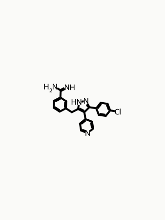 N=C(N)c1cccc(Cc2[nH]nc(-c3ccc(Cl)cc3)c2-c2ccncc2)c1